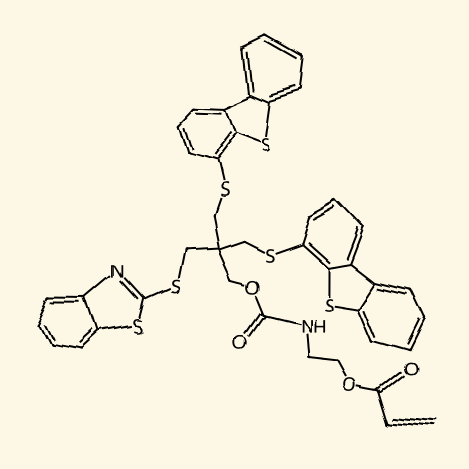 C=CC(=O)OCCNC(=O)OCC(CSc1nc2ccccc2s1)(CSc1cccc2c1sc1ccccc12)CSc1cccc2c1sc1ccccc12